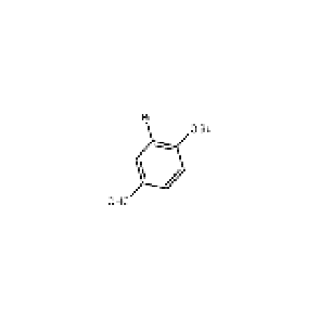 CC(C)COc1ccc(C=O)cc1Br